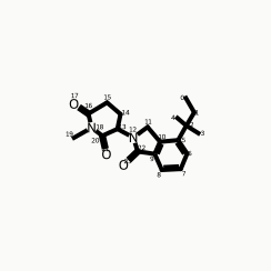 CCC(C)(C)c1cccc2c1CN(C1CCC(=O)N(C)C1=O)C2=O